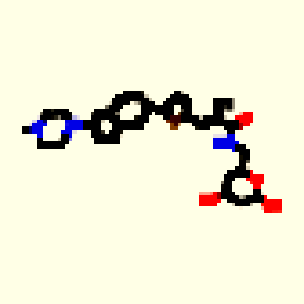 CN1CCN(c2ccc3cc(-c4ccc(/C=C(\C#N)C(=O)NCC5CC(O)CC(O)O5)s4)ccc3c2)CC1